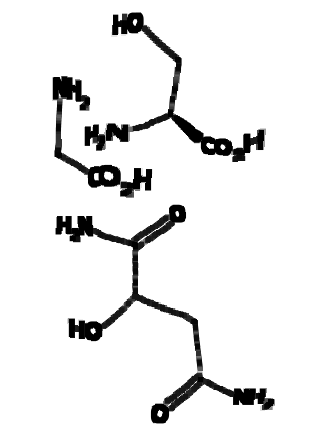 NC(=O)CC(O)C(N)=O.NCC(=O)O.N[C@@H](CO)C(=O)O